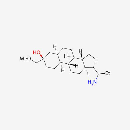 CC[C@@H](N)[C@H]1CC[C@H]2[C@@H]3CC[C@@H]4C[C@@](O)(COC)CC[C@@H]4[C@H]3CC[C@]12C